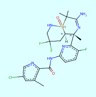 Cc1cc(Cl)cnc1C(=O)Nc1ccc(F)c([C@@]2(C)N=C(N)C(C)(C)[SH]3(=O)NCC(F)(F)C[C@H]23)n1